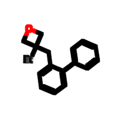 CCC1(Cc2ccccc2-c2ccccc2)COC1